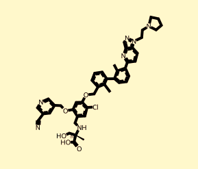 Cc1c(COc2cc(OCc3cncc(C#N)c3)c(CN[C@@](C)(CO)C(=O)O)cc2Cl)cccc1-c1cccc(-c2ccc3c(cnn3CCN3CCCC3)n2)c1C